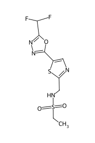 CCS(=O)(=O)NCc1ncc(-c2nnc(C(F)F)o2)s1